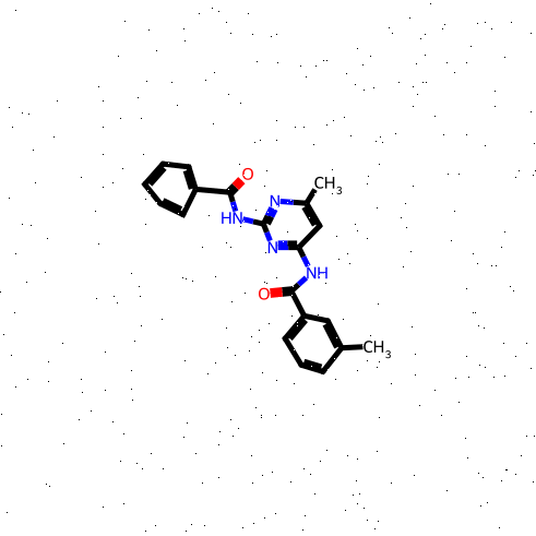 Cc1cccc(C(=O)Nc2cc(C)nc(NC(=O)c3ccccc3)n2)c1